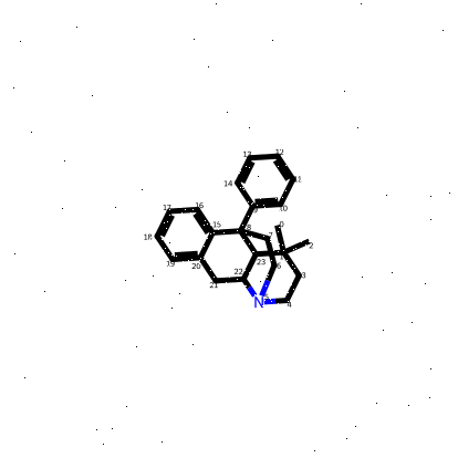 CC1(C)CCN2CCC3(c4ccccc4)c4ccccc4CC2C13